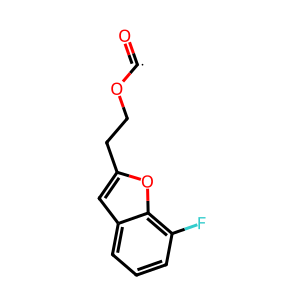 O=[C]OCCc1cc2cccc(F)c2o1